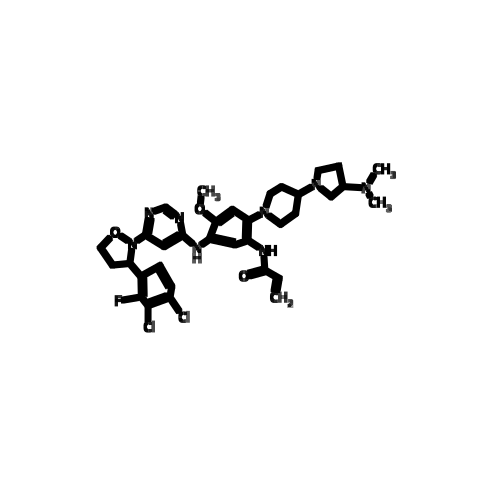 C=CC(=O)Nc1cc(Nc2cc(N3OCCC3c3ccc(Cl)c(Cl)c3F)ncn2)c(OC)cc1N1CCC(N2CCC(N(C)C)C2)CC1